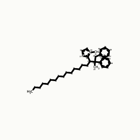 CCCCCCCCCCCCCCCC(c1nccn1C)C(C)(Cc1ccccc1)c1ccccc1